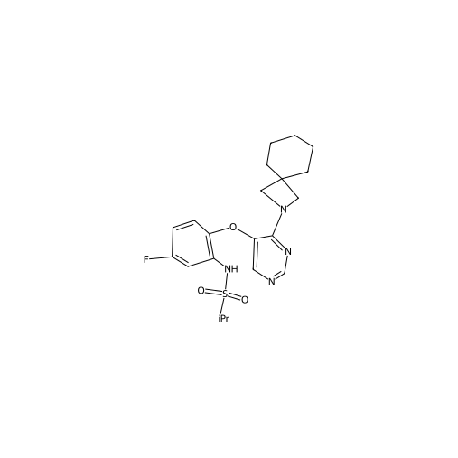 CC(C)S(=O)(=O)Nc1cc(F)ccc1Oc1cncnc1N1CC2(CCCCC2)C1